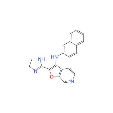 c1ccc2cc(Nc3c(C4=NCCN4)oc4cnccc34)ccc2c1